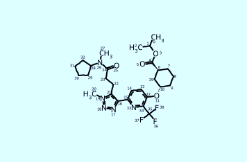 CC(C)OC(=O)[C@H]1CCC[C@H](Oc2ccc(-c3nnn(C)c3CCC(=O)N(C)C3CCCC3)nc2C(F)(F)F)C1